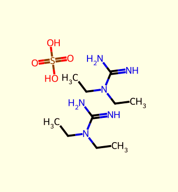 CCN(CC)C(=N)N.CCN(CC)C(=N)N.O=S(=O)(O)O